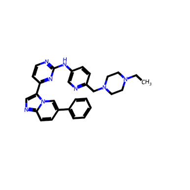 CCN1CCN(Cc2ccc(Nc3nccc(-c4cnc5ccc(-c6ccccc6)cn45)n3)cn2)CC1